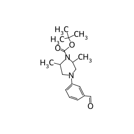 CC1CN(c2cccc(C=O)c2)CC(C)N1C(=O)OC(C)(C)C